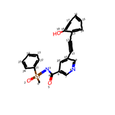 CS(=O)(=NC(=O)c1cncc(C#Cc2ccccc2O)c1)c1ccccc1